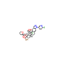 C[C@]12Cc3cnn(-c4ccc(F)nc4)c3C=C1CC[C@H]1[C@@H]3CC[C@](OC(=O)[C@H]4CCCO4)(C(=O)S)[C@@]3(C)C[C@H](O)[C@@]12F